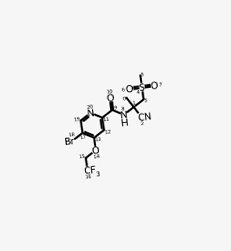 CC(C#N)(CS(C)(=O)=O)NC(=O)c1cc(OCC(F)(F)F)c(Br)cn1